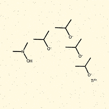 CC(C)[O-].CC(C)[O-].CC(C)[O-].CC(C)[O-].CN(C)O.[Ti+4]